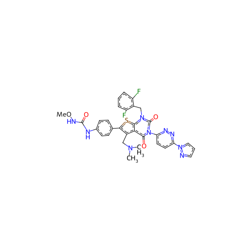 CONC(=O)Nc1ccc(-c2sc3c(c2CN(C)C)c(=O)n(-c2ccc(-n4cccn4)nn2)c(=O)n3Cc2c(F)cccc2F)cc1